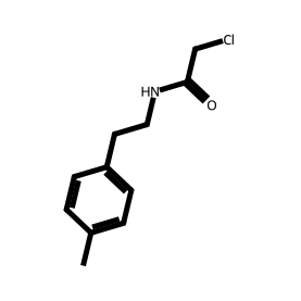 Cc1ccc(CCNC(=O)CCl)cc1